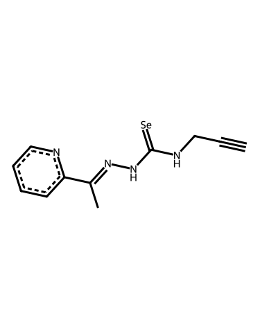 C#CCNC(=[Se])NN=C(C)c1ccccn1